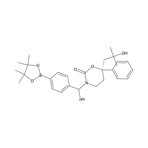 CCCC(c1ccc(B2OC(C)(C)C(C)(C)O2)cc1)N1CC[C@](CC(C)(C)O)(c2ccccc2)OC1=O